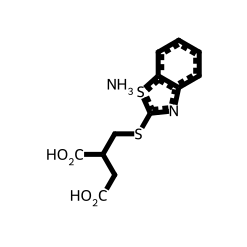 N.O=C(O)CC(CSc1nc2ccccc2s1)C(=O)O